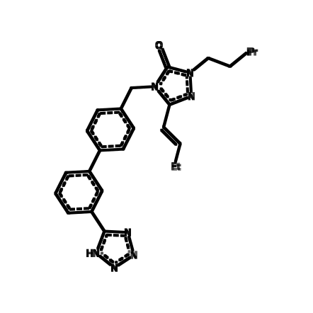 CCC=Cc1nn(CCC(C)C)c(=O)n1Cc1ccc(-c2cccc(-c3nnn[nH]3)c2)cc1